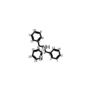 c1ccc(CNCc2ccccc2)cc1.c1ccncc1